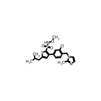 CONS(=O)(=O)c1sc(CC(C)C)cc1-c1ccc(Cn2ccnc2C)c(Cl)c1